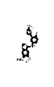 CCOc1cc2c(Nc3ccc(F)c(-c4csc(C)n4)c3)ncnc2cc1OC(C)C